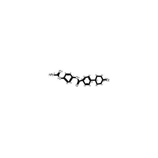 CCCC(=O)Oc1ccc(OC(=O)c2ccc(C3CCC(CC)CC3)cc2)cc1